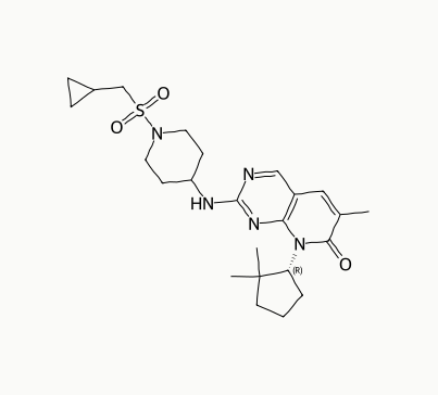 Cc1cc2cnc(NC3CCN(S(=O)(=O)CC4CC4)CC3)nc2n([C@@H]2CCCC2(C)C)c1=O